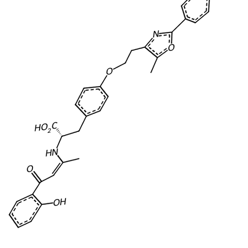 C/C(=C/C(=O)c1ccccc1O)N[C@@H](Cc1ccc(OCCc2nc(-c3ccccc3)oc2C)cc1)C(=O)O